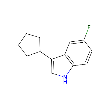 Fc1ccc2[nH]cc(C3C[CH]CC3)c2c1